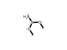 BB(OC)OC